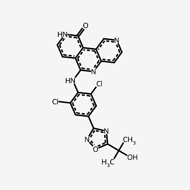 CC(C)(O)c1nc(-c2cc(Cl)c(Nc3nc4ccncc4c4c(=O)[nH]ccc34)c(Cl)c2)no1